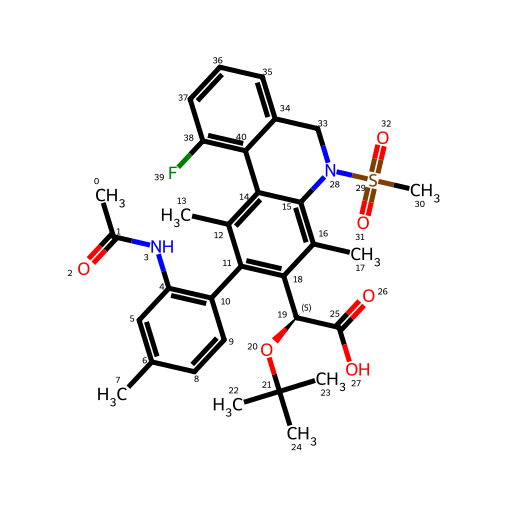 CC(=O)Nc1cc(C)ccc1-c1c(C)c2c(c(C)c1[C@H](OC(C)(C)C)C(=O)O)N(S(C)(=O)=O)Cc1cccc(F)c1-2